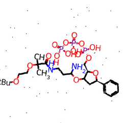 CC(C)(C)OCCOC(C)(C)C(=O)NCCC(N)OC1C[C@H](c2ccccc2)O[C@@H]1COP(=O)(O)OP(=O)(O)OP(=O)(O)O